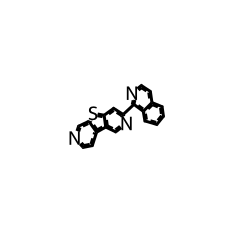 c1ccc2c(-c3cc4sc5cnccc5c4cn3)nccc2c1